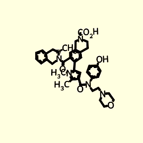 Cc1c(C(=O)N(CCN2CCOCC2)c2ccc(O)cc2)cc(-c2cc3c(cc2C(=O)N2Cc4ccccc4C[C@H]2C)CN(C(=O)O)CC3)n1C